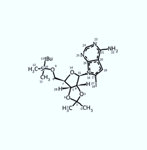 CC1(C)O[C@@H]2[C@H](O1)[C@@H](CO[Si](C)(C)C(C)(C)C)O[C@H]2n1c(I)cc2c(N)ncnc21